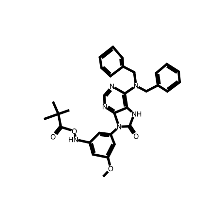 COc1cc(NOC(=O)C(C)(C)C)cc(-n2c(=O)[nH]c3c(N(Cc4ccccc4)Cc4ccccc4)ncnc32)c1